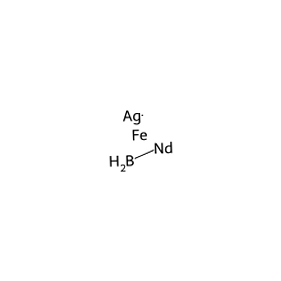 [Ag].[BH2][Nd].[Fe]